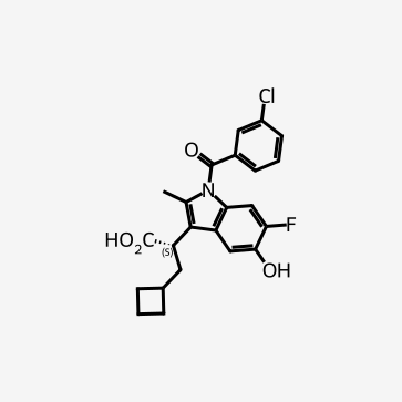 Cc1c([C@H](CC2CCC2)C(=O)O)c2cc(O)c(F)cc2n1C(=O)c1cccc(Cl)c1